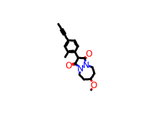 CC#Cc1ccc(C2C(=O)N3CCC(OC)CCN3C2=O)c(C)c1